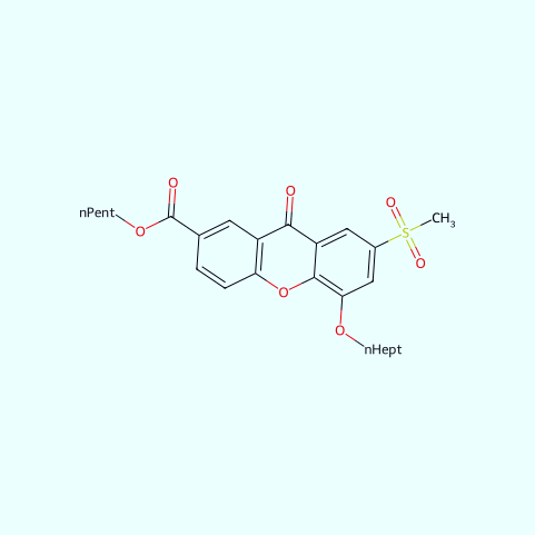 CCCCCCCOc1cc(S(C)(=O)=O)cc2c(=O)c3cc(C(=O)OCCCCC)ccc3oc12